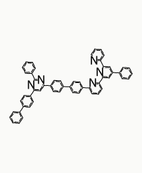 c1ccc(-c2ccc(-c3cc(-c4ccc(-c5ccc(-c6cccc(-c7cc(-c8ccccc8)cc(-c8ccccn8)n7)n6)cc5)cc4)nc(-c4ccccc4)n3)cc2)cc1